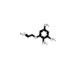 C=CCOc1cc(C)cc(C)c1C